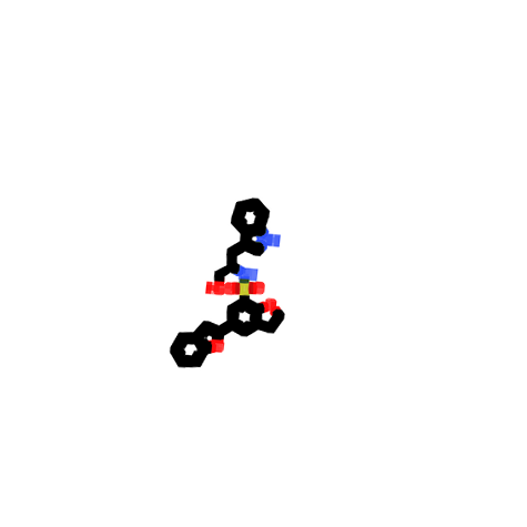 O=S(=O)(N[C@@H](CO)Cc1c[nH]c2ccccc12)c1cc(-c2cc3ccccc3o2)cc2c1OCC2